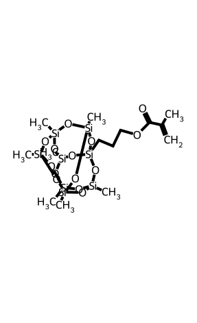 C=C(C)C(=O)OCCC[Si]12O[Si]3(C)O[Si]4(C)O[Si]5(C)O[Si](C)(O3)O[Si](C)(O[Si](C)(O5)O[Si](C)(O4)O1)O2